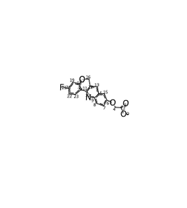 COC(=O)COc1ccc2nc3c(cc2c1)COc1cc(F)ccc1-3